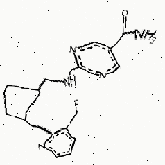 NC(=O)c1cnc(NCC2CCC2c2ncccc2F)nc1